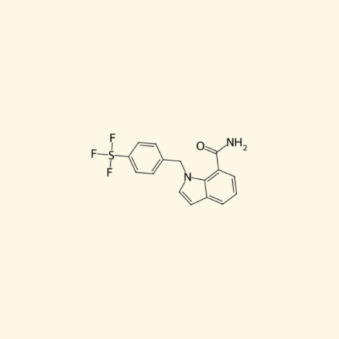 NC(=O)c1cccc2ccn(Cc3ccc(S(F)(F)F)cc3)c12